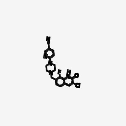 N#Cc1ccc(N2CCN(Cc3ccc4cc(Cl)c(=O)[nH]c4c3F)CC2)nc1